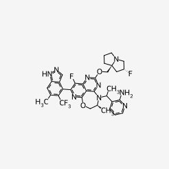 Cc1cc2[nH]ncc2c(-c2nc3c4c(nc(OC[C@@]56CCCN5C[C@H](F)C6)nc4c2F)N(C(C)c2cccnc2N)[C@@H](C)CO3)c1C(F)(F)F